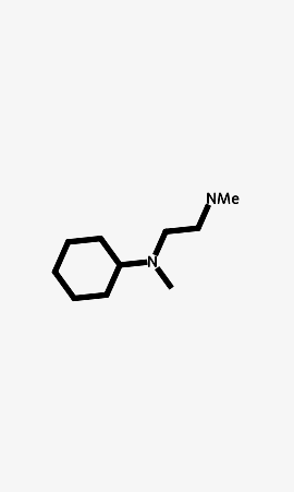 CNCCN(C)C1CCCCC1